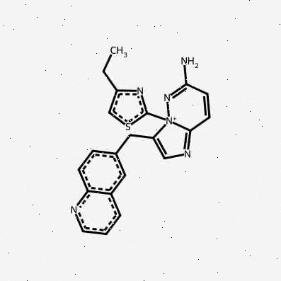 CCc1csc([N+]23N=C(N)C=CC2=NC=C3Cc2ccc3ncccc3c2)n1